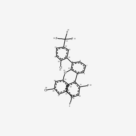 Fc1ccc(-c2cc[c]c(-c3cc(C(F)(F)F)ccc3Cl)c2Oc2cc(Cl)cc(Cl)c2)c(F)c1